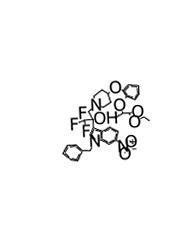 CC1OC(C(C)Oc2ccccc2OC2CCN(CC(O)(c3cn(Cc4ccccc4)c4cc([N+](=O)[O-])ccc34)C(F)(F)F)CC2)O1